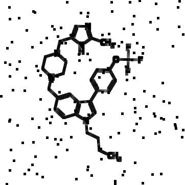 CCCCn1cc(-c2ccc(OC(F)(F)F)cc2)c2cc(CN3CCN(Cc4cnc(C)[nH]4)CC3)ccc21